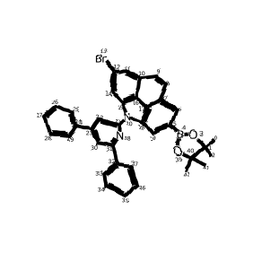 CC1(C)OB(c2cc3ccc4cc(Br)cc5c4c3c(c2)n5-c2cc(-c3ccccc3)cc(-c3ccccc3)n2)OC1(C)C